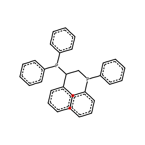 c1ccc(C(CP(c2ccccc2)c2ccccc2)P(c2ccccc2)c2ccccc2)cc1